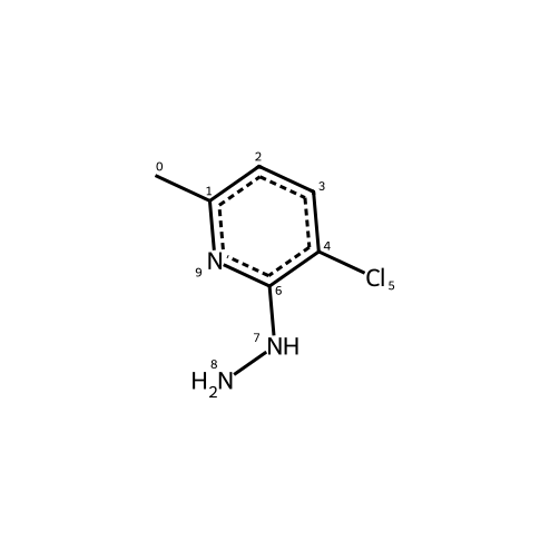 Cc1ccc(Cl)c(NN)n1